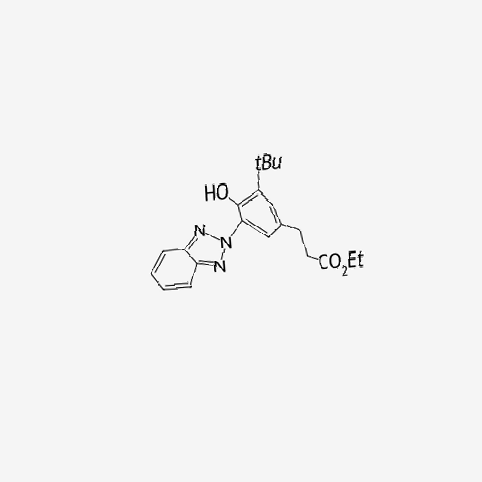 CCOC(=O)CCc1cc(-n2nc3ccccc3n2)c(O)c(C(C)(C)C)c1